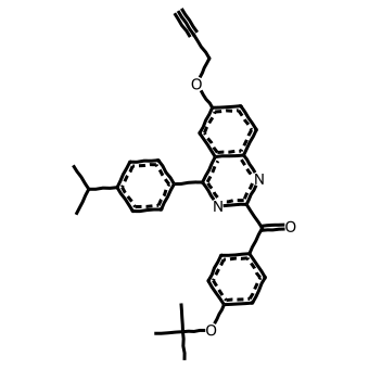 C#CCOc1ccc2nc(C(=O)c3ccc(OC(C)(C)C)cc3)nc(-c3ccc(C(C)C)cc3)c2c1